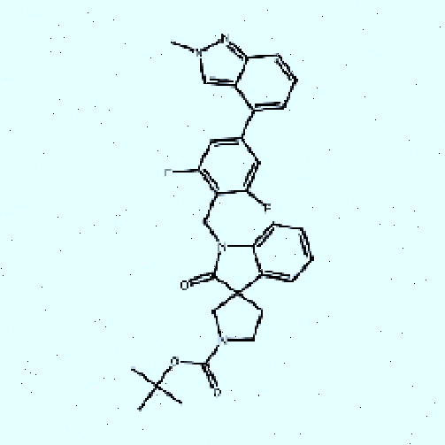 Cn1cc2c(-c3cc(F)c(CN4C(=O)C5(CCN(C(=O)OC(C)(C)C)C5)c5ccccc54)c(F)c3)cccc2n1